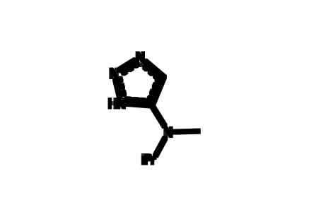 CC(C)N(C)c1cnn[nH]1